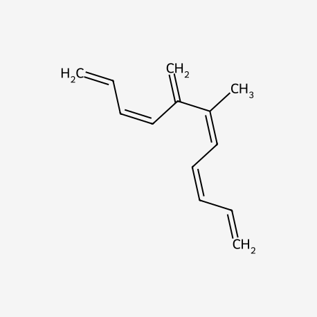 C=C/C=C\C=C(\C)C(=C)/C=C\C=C